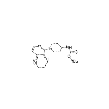 CC(C)(C)OC(=O)NC1CCN(c2nccc3nccnc23)CC1